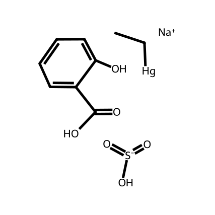 C[CH2][Hg].O=C(O)c1ccccc1O.O=[S-](=O)O.[Na+]